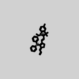 C=C/C=C1\CCC(/C=C/C2=[N+](CC)c3ccc(C)cc3C2(C)C)=C1N(c1ccccc1)c1ccccc1